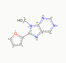 O=C(O)n1c(-c2ccco2)nc2cncnc21